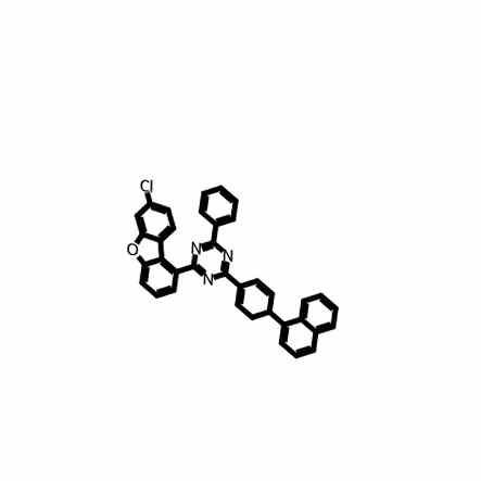 Clc1ccc2c(c1)oc1cccc(-c3nc(C4=CCC(c5cccc6ccccc56)C=C4)nc(-c4ccccc4)n3)c12